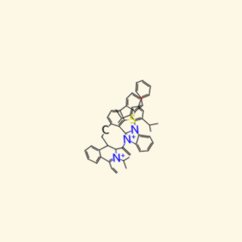 C=CC1=[N+](C(C)C)C2C(=C)[n+]3c(n(-c4c(C(C)C)cc(-c5ccccc5)cc4C(C)C)c4ccccc43)-c3c(ccc4c3sc3ccccc34)CCC2c2ccccc21